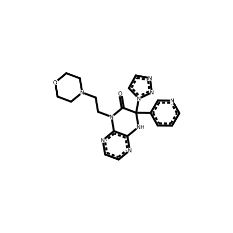 O=C1N(CCN2CCOCC2)c2nccnc2NC1(c1cccnc1)n1ccnn1